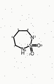 O=S1(=O)[N]CCCCN1